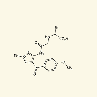 CCc1cc(C(=O)c2ccc(OC(F)(F)F)cc2)c(NC(=O)CNC(CC)C(=O)O)s1